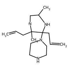 C=CCC1(C)[N]CC(C)NC1(CC=C)N1CCNCC1